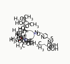 CCCCOP(=O)(O)Nc1csc(-c2ccc(CO/N=C3\CC[C@@H]4[C@@H](C)/C(=N/C(=O)CC)[C@H](C)C[C@@](C)(CC3)[C@H](O[C@@H]3O[C@H](C)C[C@H](N(C)C)[C@H]3O)[C@@H](C)C(=O)[C@](C)(F)C(=O)O[C@H](CC)[C@@]4(C)O)nc2)n1